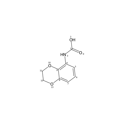 O=C(O)Nc1cccc2c1OCCO2